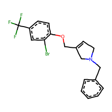 FC(F)(F)c1ccc(OCC2=CCN(Cc3ccccc3)C2)c(Br)c1